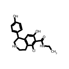 CCNC(=O)c1c(O)cc2c(c1Cl)CCNCC2c1ccc(O)cc1